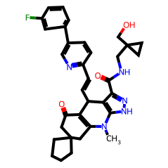 CN1C2=C(C(=O)CC3(CCCC3)C2)C(/C=C/c2ccc(-c3cccc(F)c3)cn2)c2c(C(=O)NCC3(CO)CC3)n[nH]c21